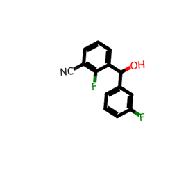 N#Cc1cccc(C(O)c2cccc(F)c2)c1F